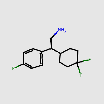 NC[C@H](c1ccc(F)cc1)C1CCC(F)(F)CC1